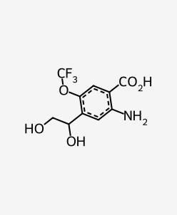 Nc1cc(C(O)CO)c(OC(F)(F)F)cc1C(=O)O